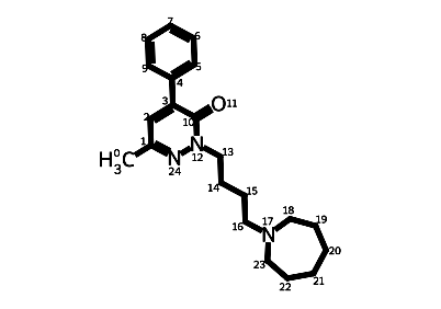 Cc1cc(-c2ccccc2)c(=O)n(CCCCN2CCCCCC2)n1